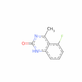 Cc1nc(=O)[nH]c2cccc(F)c12